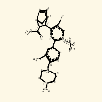 Cc1cc(-c2ncc(F)c(C3C4C=CC(C4)C3C(N)=O)n2)ccc1N1CCN(C)CC1.Cl.NN